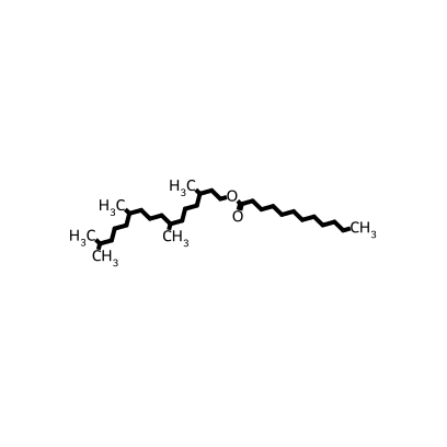 CCCCCCCCCCCC(=O)OCCC(C)CCCC(C)CCCC(C)CCCC(C)C